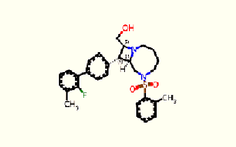 Cc1ccccc1S(=O)(=O)N1CCCCN2[C@H](CO)[C@@H](c3ccc(-c4cccc(C)c4F)cc3)[C@@H]2C1